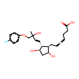 CC(O)(C=C[C@@H]1[C@@H](CC=C=CCCC(=O)O)[C@@H](O)C[C@H]1O)COc1ccc(F)cc1